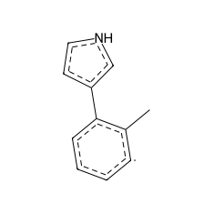 Cc1[c]cccc1-c1cc[nH]c1